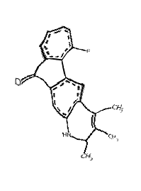 CC1=C(C)C(C)Nc2cc3c(cc21)-c1c(F)cccc1C3=O